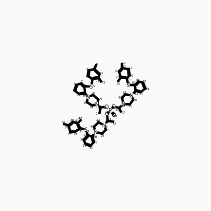 Cc1ccc(Sc2ccccc2N2CCN(C(C)OP(=O)(OC(C)N3CCN(c4ccccc4Sc4ccc(C)cc4C)CC3)OC(C)N3CCN(c4ccccc4Sc4ccc(C)cc4C)CC3)CC2)c(C)c1